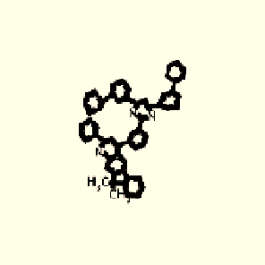 CC1(C)c2ccccc2-c2cc3c(-c4cccc(-c5nc(-c6cccc(C7=CC=CCC7)c6)cc(-c6cccc(-c7ccccc7)c6)n5)c4)cc(-c4ccccc4)nc3cc21